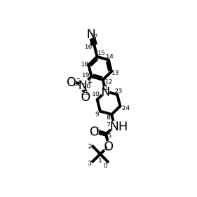 CC(C)(C)OC(=O)NC1CCN(c2ccc(C#N)cc2[N+](=O)[O-])CC1